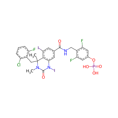 CN1C(=O)N(I)c2cc(C(=O)NCc3c(F)cc(OP(=O)(O)O)cc3F)cc(I)c2C1(C)Cc1c(F)cccc1Cl